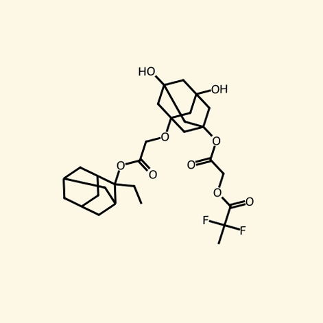 CCC1(OC(=O)COC23CC4(O)CC(O)(C2)CC(OC(=O)COC(=O)C(C)(F)F)(C4)C3)C2CC3CC(C2)CC1C3